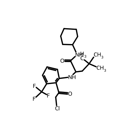 CC(C)(C)CC(Nc1cccc(C(F)(F)F)c1C(=O)CCl)C(=O)NC1CCCCC1